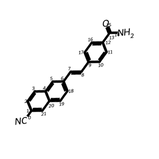 N#Cc1ccc2cc(/C=C/c3ccc(C(N)=O)cc3)ccc2c1